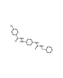 O=C(NNc1ccc(NC(=S)NCc2ccccc2)cc1)c1ccc(Cl)cc1